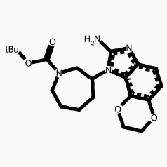 CC(C)(C)OC(=O)N1CCCCC(n2c(N)nc3ccc4c(c32)OCCO4)C1